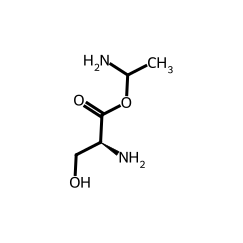 CC(N)OC(=O)[C@@H](N)CO